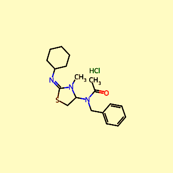 CC(=O)N(Cc1ccccc1)C1CSC(=NC2CCCCC2)N1C.Cl